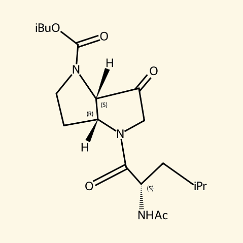 CC(=O)N[C@@H](CC(C)C)C(=O)N1CC(=O)[C@@H]2[C@H]1CCN2C(=O)OCC(C)C